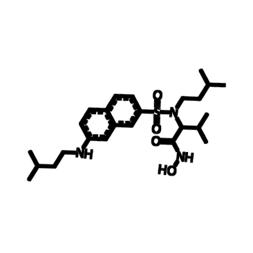 CC(C)CCNc1ccc2ccc(S(=O)(=O)N(CCC(C)C)C(C(=O)NO)C(C)C)cc2c1